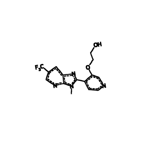 Cn1c(-c2ccncc2OCCO)nc2cc(C(F)(F)F)cnc21